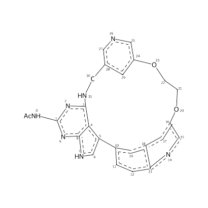 CC(=O)Nc1nc2c3c(c[nH]c3n1)-c1ccc3ncc(cc3c1)OCCOc1cncc(c1)CN2